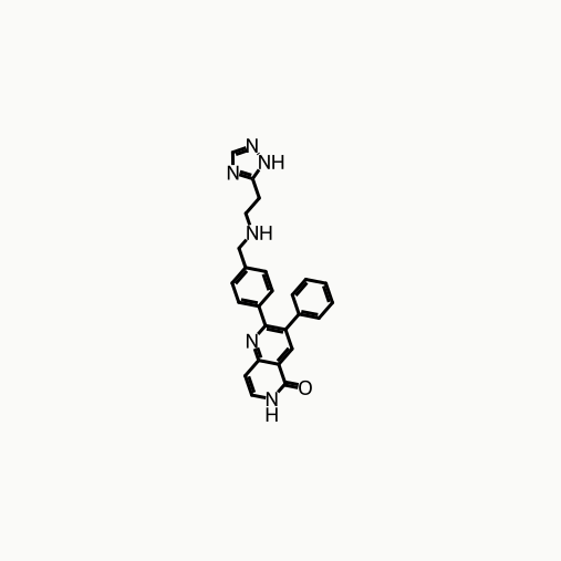 O=c1[nH]ccc2nc(-c3ccc(CNCCc4ncn[nH]4)cc3)c(-c3ccccc3)cc12